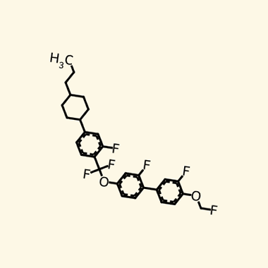 CCCC1CCC(c2ccc(C(F)(F)Oc3ccc(-c4ccc(OCF)c(F)c4)c(F)c3)c(F)c2)CC1